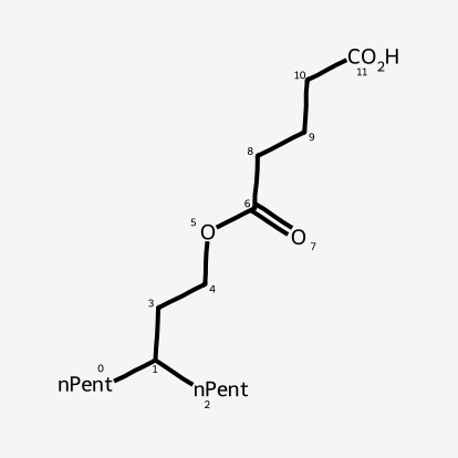 CCCCCC(CCCCC)CCOC(=O)CCCC(=O)O